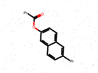 CC(C)C(=O)Oc1ccc2cc(C(C)C)ccc2c1